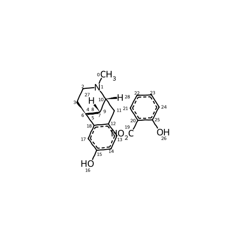 CN1CC[C@]23CCCC[C@H]2[C@H]1Cc1ccc(O)cc13.O=C(O)c1ccccc1O